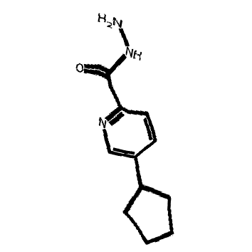 NNC(=O)c1ccc(C2CCCC2)cn1